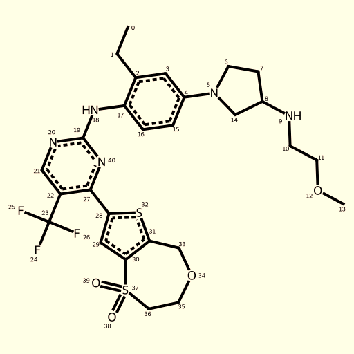 CCc1cc(N2CCC(NCCOC)C2)ccc1Nc1ncc(C(F)(F)F)c(-c2cc3c(s2)COCCS3(=O)=O)n1